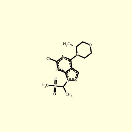 CC(n1ncc2c(N3CCOC[C@H]3C)nc(Cl)nc21)S(C)(=O)=O